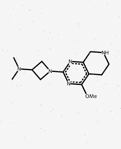 COc1nc(N2CC(N(C)C)C2)nc2c1CCNC2